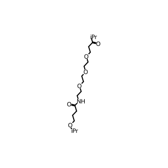 CC(C)OCCCC(=O)NCCOCCOCCOCCC(=O)C(C)C